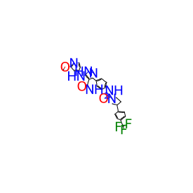 COc1cc(Nc2[nH]nc(-c3ccc(NC(=O)N4CCC(c5ccc(C(F)(F)F)cc5)C4)cc3)c2C(N)=O)ccn1